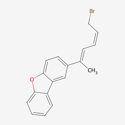 C/C(=C\C=C/CBr)c1ccc2oc3ccccc3c2c1